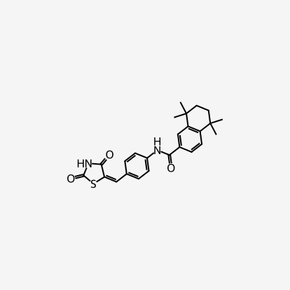 CC1(C)CCC(C)(C)c2cc(C(=O)Nc3ccc(C=C4SC(=O)NC4=O)cc3)ccc21